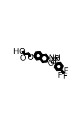 O=C(O)COc1ccc2c(c1)CCC(NS(=O)(=O)c1ccc(C(F)(F)F)cc1)C2